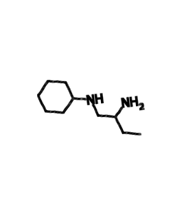 CCC(N)CNC1CCCCC1